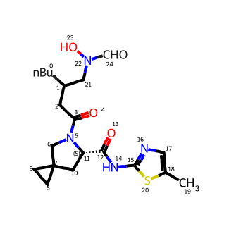 CCCCC(CC(=O)N1CC2(CC2)C[C@H]1C(=O)Nc1ncc(C)s1)CN(O)C=O